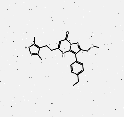 CCc1ccc(-c2c(COC)nn3c(=O)cc(CCc4c(C)n[nH]c4C)[nH]c23)cc1